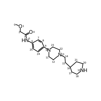 COCC(=O)Nc1ccc(N2CCN(CCC3CCNCC3)CC2)cc1